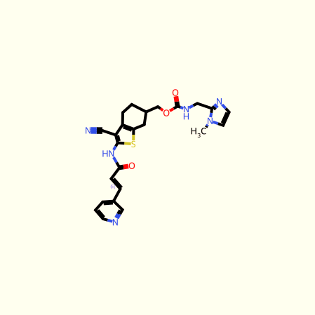 Cn1ccnc1CNC(=O)OCC1CCc2c(sc(NC(=O)/C=C/c3cccnc3)c2C#N)C1